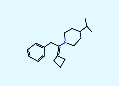 CC(C)C1CCN(C(Cc2ccccc2)=C2CCC2)CC1